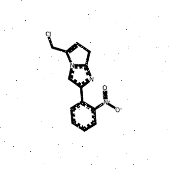 O=[N+]([O-])c1ccccc1-c1cn2c(n1)CC=C2CCl